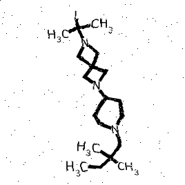 CCC(C)(C)CN1CCC(N2CC3(C2)CN(C(C)(C)I)C3)CC1